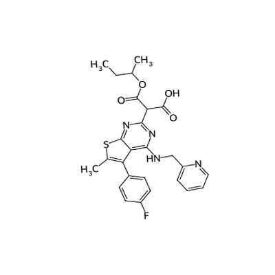 CCC(C)OC(=O)C(C(=O)O)c1nc(NCc2ccccn2)c2c(-c3ccc(F)cc3)c(C)sc2n1